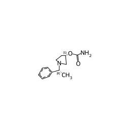 C[C@H](c1ccccc1)N1CC[C@H](OC(N)=O)C1